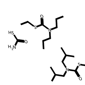 CCCN(CCC)C(=O)SCC.CCSC(=O)N(CC(C)C)CC(C)C.NC(=O)S